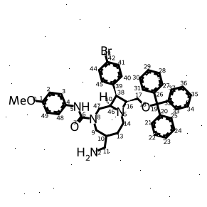 COc1ccc(NC(=O)N2CC(CN)CCN3[C@H](COC(c4ccccc4)(c4ccccc4)c4ccccc4)[C@H](c4ccc(Br)cc4)[C@@H]3C2)cc1